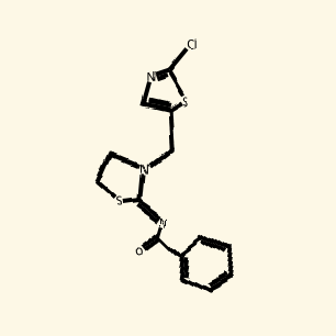 O=C(/N=C1\SCCN1Cc1cnc(Cl)s1)c1ccccc1